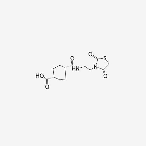 O=C1CSC(=O)N1CCNC(=O)[C@H]1CC[C@@H](C(=O)O)CC1